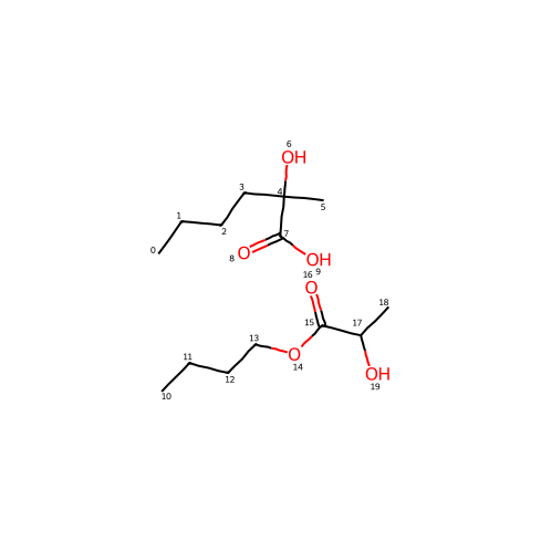 CCCCC(C)(O)C(=O)O.CCCCOC(=O)C(C)O